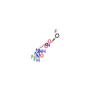 O=c1[nH]c(C(F)F)nc2nc(CCCc3cc(OCC#Cc4cccc(F)c4)no3)[nH]c12